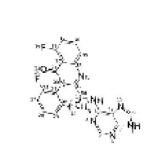 C[C@H](Nc1ncnc2[nH]cnc12)c1nc2cccc(F)c2c(=O)n1-c1c(F)cccc1F